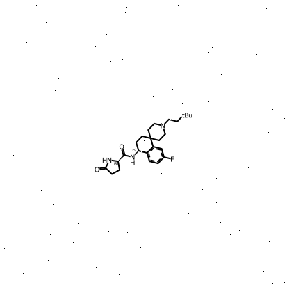 CC(C)(C)CCN1CCC2(CC[C@H](NC(=O)[C@H]3CCC(=O)N3)c3ccc(F)cc32)CC1